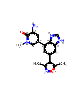 Cc1noc(C)c1-c1cc(-c2cc(N)c(=O)n(C)c2)c2nc[nH]c2c1